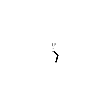 [CH2-]CC.[Li+]